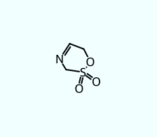 O=S1(=O)CN=CCO1